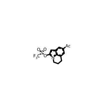 CC(=O)c1cc2c3c(c1)cc(OS(=O)(=O)C(F)(F)F)n3CCC2